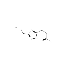 COCc1n[nH]c([CH][C@H](C)C(N)=O)n1